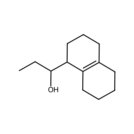 CCC(O)C1CCCC2=C1CCCC2